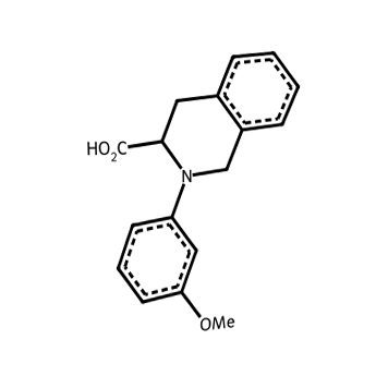 COc1cccc(N2Cc3ccccc3CC2C(=O)O)c1